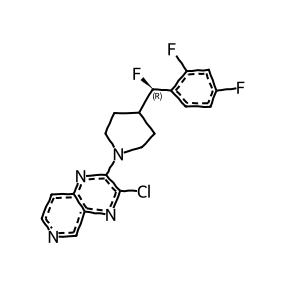 Fc1ccc([C@H](F)C2CCN(c3nc4ccncc4nc3Cl)CC2)c(F)c1